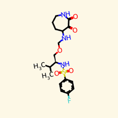 CC(C)[C@@H](COCNC1CCCNC(=O)C1=O)NS(=O)(=O)c1ccc(F)cc1